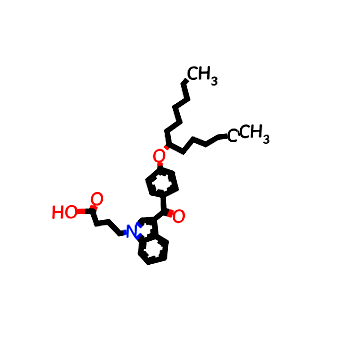 CCCCCCC(CCCCCC)Oc1ccc(C(=O)c2cn(CCCC(=O)O)c3ccccc23)cc1